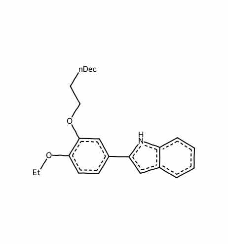 CCCCCCCCCCCCOc1cc(-c2cc3ccccc3[nH]2)ccc1OCC